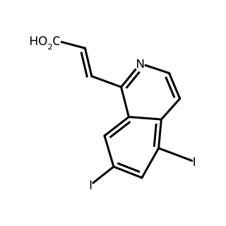 O=C(O)C=Cc1nccc2c(I)cc(I)cc12